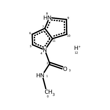 CNC(=O)n1ccc2[nH]ccc21.[H+]